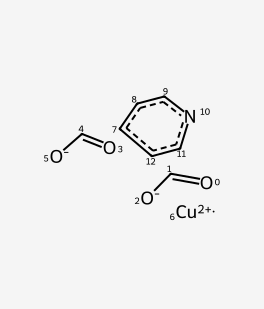 O=C[O-].O=C[O-].[Cu+2].c1ccncc1